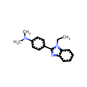 CCn1c(-c2ccc(N(C)C)cc2)nc2ccccc21